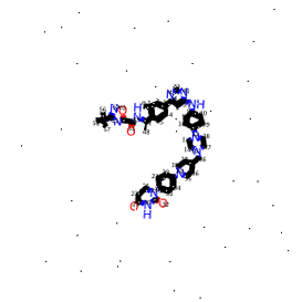 Cc1cc(-c2cc(Nc3ccc(N4CCN(CC5CCN(c6ccc(N7CCC(=O)NC7=O)cc6)CC5)CC4)cc3)ncn2)ccc1[C@@H](C)NC(=O)c1nc(C(C)(C)C)no1